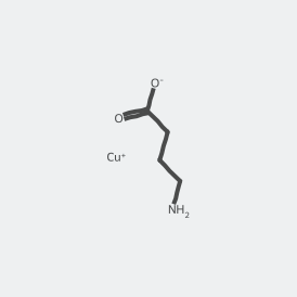 NCCCC(=O)[O-].[Cu+]